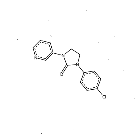 O=C1N(c2ccc(Cl)cc2)CCN1c1cccnc1